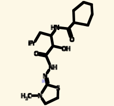 CC(C)CC(NC(=O)C1CCCCC1)C(O)C(=O)N/N=C1\SCCN1C